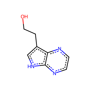 OCCc1c[nH]c2nccnc12